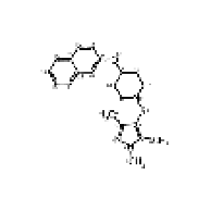 Cc1nn(C)c(C)c1SN1CCC(Oc2ccc3ccccc3c2)CC1